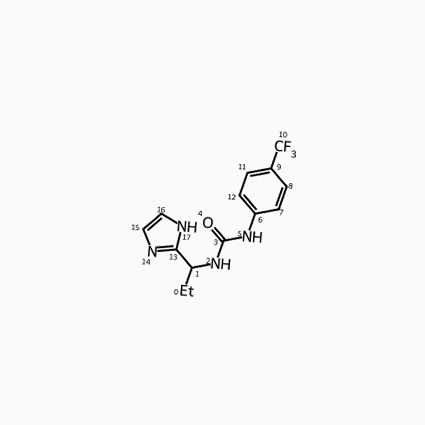 CCC(NC(=O)Nc1ccc(C(F)(F)F)cc1)c1ncc[nH]1